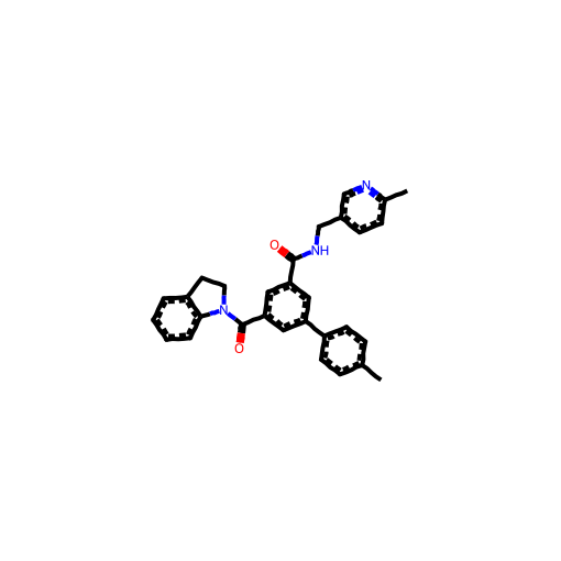 Cc1ccc(-c2cc(C(=O)NCc3ccc(C)nc3)cc(C(=O)N3CCc4ccccc43)c2)cc1